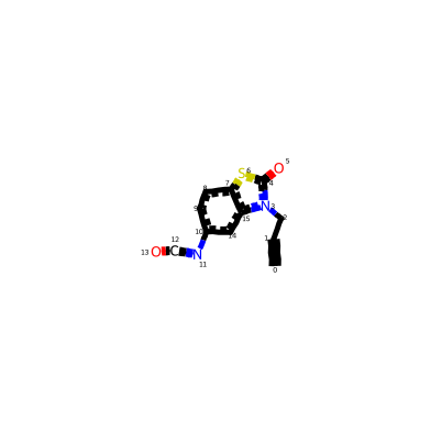 C#CCn1c(=O)sc2ccc(N=C=O)cc21